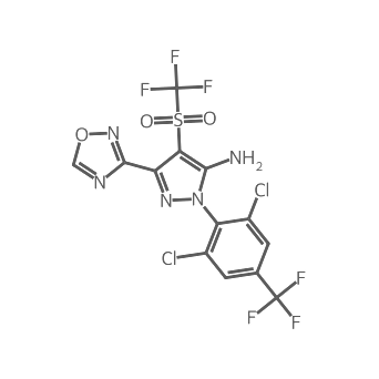 Nc1c(S(=O)(=O)C(F)(F)F)c(-c2ncon2)nn1-c1c(Cl)cc(C(F)(F)F)cc1Cl